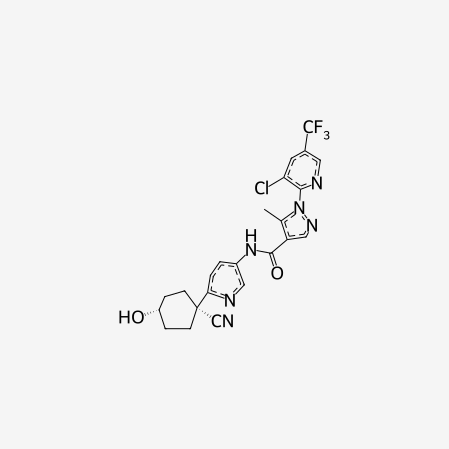 Cc1c(C(=O)Nc2ccc([C@]3(C#N)CC[C@@H](O)CC3)nc2)cnn1-c1ncc(C(F)(F)F)cc1Cl